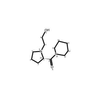 O=C([C@@H]1CCCN1CCO)N1CCCCC1